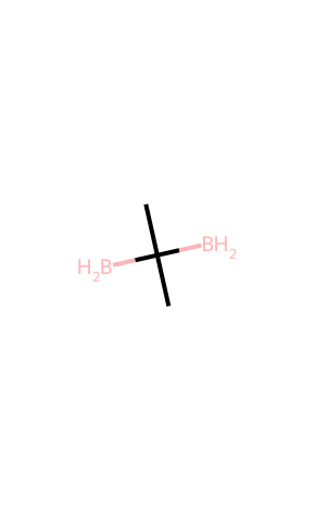 BC(B)(C)C